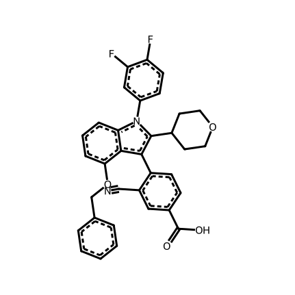 N#Cc1cc(C(=O)O)ccc1-c1c(C2CCOCC2)n(-c2ccc(F)c(F)c2)c2cccc(OCc3ccccc3)c12